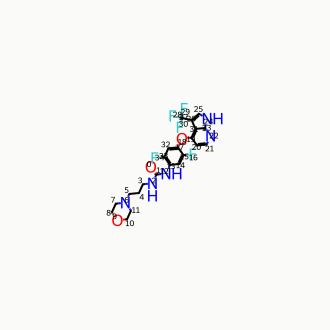 O=C(NCCCN1CCOCC1)Nc1cc(F)c(Oc2ccnc3[nH]cc(C(F)(F)F)c23)cc1F